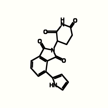 O=C1CCC(N2C(=O)c3cccc(-c4ccc[nH]4)c3C2=O)C(=O)N1